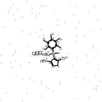 CCCC[Si](C)(C1=[C]([Ti+3])CC=C1CCC)c1c(C)c(C)c(C)c(C)c1C.[Cl-].[Cl-].[Cl-]